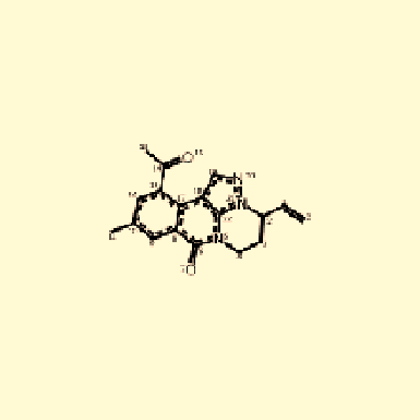 C=CC1CCn2c(=O)c3cc(C)cc(C(C)=O)c3c3cnn1c32